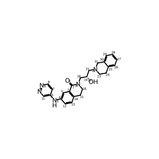 O=C1c2cc(Nc3ccnnc3)ccc2CCN1C[C@@H](O)CN1CCc2ccccc2C1